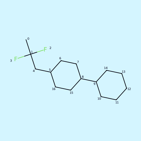 CC(F)(F)CC1CCC(C2CCCCC2)CC1